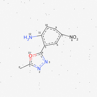 Cc1nnc(-c2cc([N+](=O)[O-])ccc2N)o1